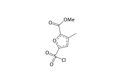 COC(=O)c1oc(S(=O)(=O)Cl)cc1C